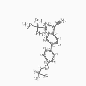 N#Cc1nc(C(P)(P)P)n2cc(-c3ccc(OCC(F)(F)F)nc3)ccc12